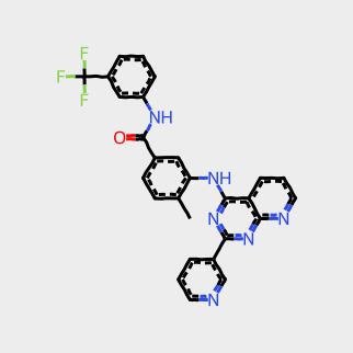 Cc1ccc(C(=O)Nc2cccc(C(F)(F)F)c2)cc1Nc1nc(-c2cccnc2)nc2ncccc12